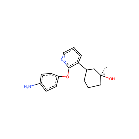 C[C@]1(O)CCCC(c2cccnc2Oc2ccc(N)cc2)C1